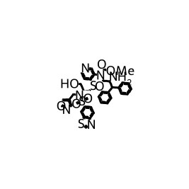 COC(=O)N(C(=O)[C@@H](N)C(c1ccccc1)c1ccccc1)c1cnccc1SC[C@@H](CO)N(Cc1cnoc1)S(=O)(=O)c1ccc2ncsc2c1